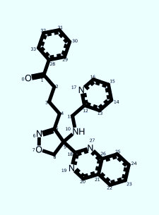 O=C(CCCC1=NOCC1(NCc1ccccn1)c1ncc2ccccc2n1)c1ccccc1